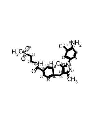 Cc1nn(-c2ccc(N)c(Cl)c2)c(C)c1Cc1ccc(C(=O)NCCS(C)(=O)=O)cc1